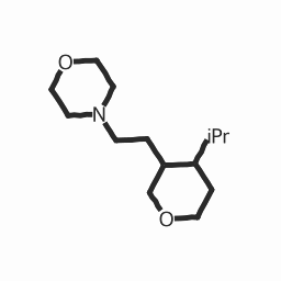 CC(C)C1CCOCC1CCN1CCOCC1